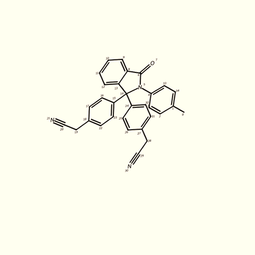 Cc1ccc(N2C(=O)c3ccccc3C2(c2ccc(CC#N)cc2)c2ccc(CC#N)cc2)cc1